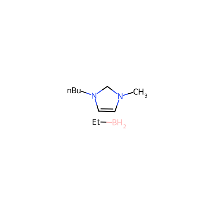 BCC.CCCCN1C=CN(C)C1